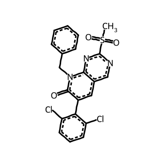 CS(=O)(=O)c1ncc2cc(-c3c(Cl)cccc3Cl)c(=O)n(Cc3ccccc3)c2n1